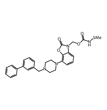 CSNC(=O)OCn1c(=O)oc2c(N3CCN(Cc4cccc(-c5ccccc5)c4)CC3)cccc21